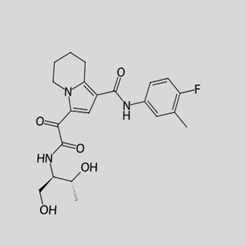 Cc1cc(NC(=O)c2cc(C(=O)C(=O)N[C@H](CO)[C@@H](C)O)n3c2CCCC3)ccc1F